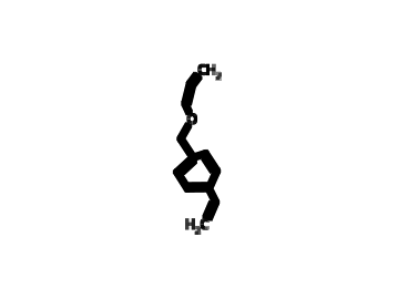 C=C=COCc1ccc(C=C)cc1